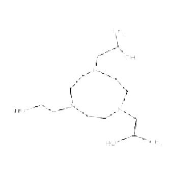 OCCN1CCN(CC(O)C(F)(F)F)CCN(CC(O)C(F)(F)F)CC1